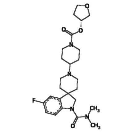 CN(C)C(=O)N1CC2(CCN(C3CCN(C(=O)O[C@@H]4CCOC4)CC3)CC2)c2cc(F)ccc21